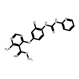 COC(=N)c1c(N)ncnc1Oc1ccc(NC(=O)Nc2ccccn2)c(Cl)c1